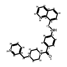 O=C(c1ccc(NSc2cccc3cccnc23)cc1)N1CCN(Cc2cccnc2)CC1